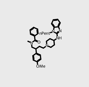 CCCCCn1c(NC2CCN(CCC(CN(C)C(=O)c3ccccc3)c3ccc(OC)cc3)CC2)nc2ccccc21